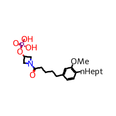 CCCCCCCc1ccc(CCCCC(=O)N2CC(OP(=O)(O)O)C2)cc1OC